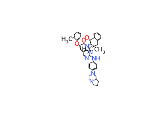 Cc1ccccc1Oc1cc2cnc(Nc3ccc(N4CCN5CCCC5C4)cc3)nc2n(C2C(=O)c3ccccc3CC2(C)C)c1=O